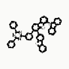 c1ccc(-c2nc(-c3ccccc3)nc(-c3cccc(-c4ccc5c(oc6c(-n7c8ccccc8c8ccccc87)cccc65)c4-c4ccc5c(c4)sc4ccccc45)c3)n2)cc1